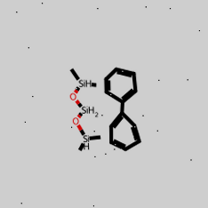 C[SiH](C)O[SiH2]O[SiH](C)C.c1ccc(-c2ccccc2)cc1